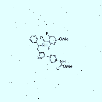 COC(=O)Nc1ccc(-c2csc(C[C@H](NC(=O)c3c(F)cc(OC)cc3F)c3ccccc3)c2)cc1